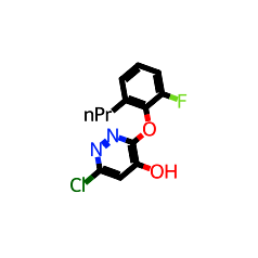 CCCc1cccc(F)c1Oc1nnc(Cl)cc1O